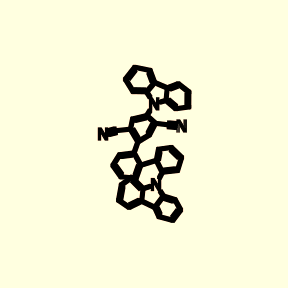 N#Cc1cc(-n2c3ccccc3c3ccccc32)c(C#N)cc1-c1ccccc1-c1ccccc1-n1c2ccccc2c2ccccc21